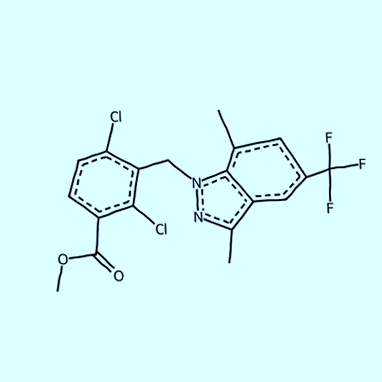 COC(=O)c1ccc(Cl)c(Cn2nc(C)c3cc(C(F)(F)F)cc(C)c32)c1Cl